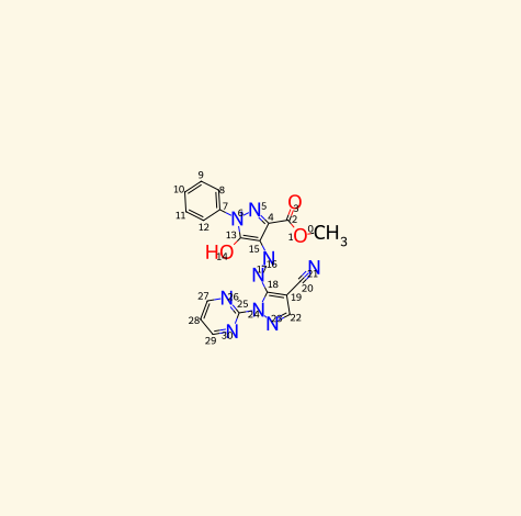 COC(=O)c1nn(-c2ccccc2)c(O)c1N=Nc1c(C#N)cnn1-c1ncccn1